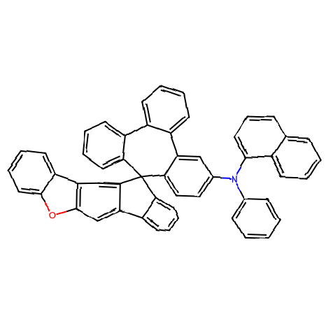 c1ccc(N(c2ccc3c(c2)-c2ccccc2-c2ccccc2C32c3ccccc3-c3cc4oc5ccccc5c4cc32)c2cccc3ccccc23)cc1